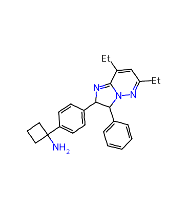 CCC1=CC(CC)=NN2C1=NC(c1ccc(C3(N)CCC3)cc1)C2c1ccccc1